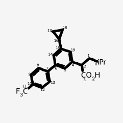 CC(C)CC(C(=O)O)c1cc(-c2ccc(C(F)(F)F)cc2)cc(C2CC2)c1